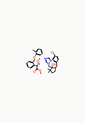 CC1(C)CCC(Cc2ccc(Cl)cc2)C1(O)Cn1cncn1.CO/N=C(/C(=O)OC)c1ccccc1COc1ccccc1C